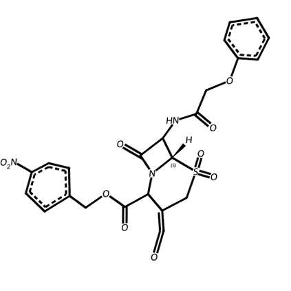 O=C=C1CS(=O)(=O)[C@H]2C(NC(=O)COc3ccccc3)C(=O)N2C1C(=O)OCc1ccc([N+](=O)[O-])cc1